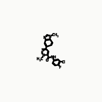 CN1SN=C(c2ccc3c(c2)ncn3C)C=C1C(=O)Nc1ccc(F)c(Cl)c1